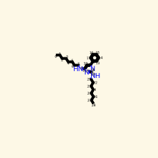 CCCCCCCCNc1cc(-c2ccccc2)nc(NCCCCCCCC)n1